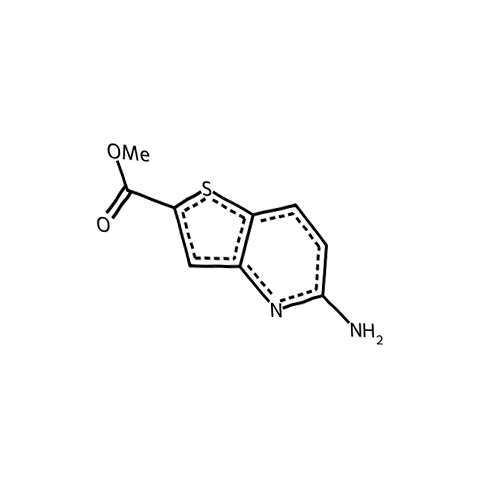 COC(=O)c1cc2nc(N)ccc2s1